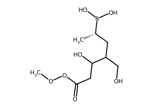 COOC(=O)CC(O)C(CO)C[C@H](C)B(O)O